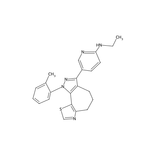 CCNc1ccc(-c2nn(-c3ccccc3C)c3c2CCCc2ncsc2-3)cn1